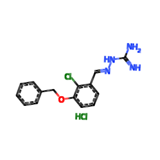 Cl.N=C(N)NN=Cc1cccc(OCc2ccccc2)c1Cl